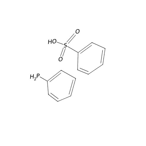 O=S(=O)(O)c1ccccc1.Pc1ccccc1